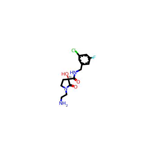 NCCN1CC[C@](O)(C(=O)NCc2cc(F)cc(Cl)c2)C1=O